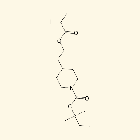 CCC(C)(C)OC(=O)N1CCC(CCOC(=O)C(C)I)CC1